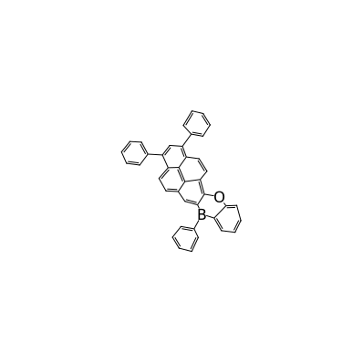 c1ccc(B2c3ccccc3Oc3c2cc2ccc4c(-c5ccccc5)cc(-c5ccccc5)c5ccc3c2c45)cc1